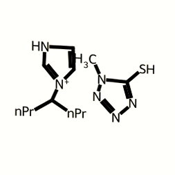 CCCC(CCC)[n+]1cc[nH]c1.Cn1nnnc1S